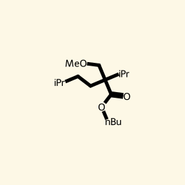 CCCCOC(=O)C(CCC(C)C)(COC)C(C)C